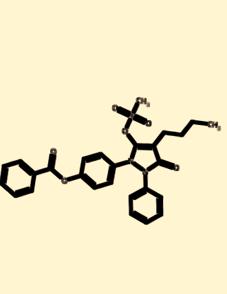 CCCCc1c(OS(C)(=O)=O)n(-c2ccc(OC(=O)c3ccccc3)cc2)n(-c2ccccc2)c1=O